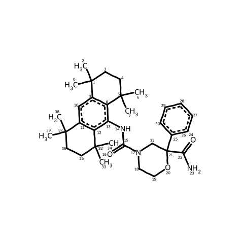 CC1(C)CCC(C)(C)c2c1cc1c(c2NC(=O)N2CCOC(C(N)=O)(c3ccccc3)C2)C(C)(C)CCC1(C)C